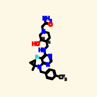 CC1(N(Cc2ccc(C(F)(F)F)cc2)c2ncnc(NC[C@@H]3CCN(CC(N)=O)C[C@H]3O)c2F)CC1